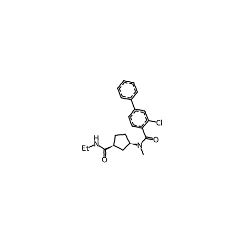 CCNC(=O)[C@H]1CC[C@@H](N(C)C(=O)c2ccc(-c3ccccc3)cc2Cl)C1